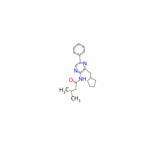 CC(C)CC(=O)Nc1ncc(-c2ccccc2)nc1CC1CCCC1